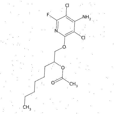 CCCCCCC(COc1nc(F)c(Cl)c(N)c1Cl)OC(C)=O